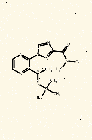 CCN(C)C(=O)c1ncn(-c2nccnc2[C@@H](C)O[Si](C)(C)C(C)(C)C)n1